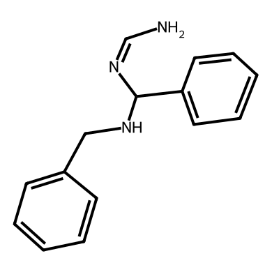 N/C=N\C(NCc1ccccc1)c1ccccc1